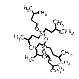 CC(C)CC[O][Sn]([CH2]CC(C)C)([CH2]CC(C)C)[O][Sn]([CH2]CC(C)C)([CH2]CC(C)C)[O]CCC(C)C